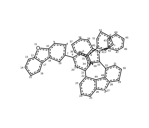 c1ccc(-c2nc(-c3ccc4oc5ccccc5c4c3)nc(-c3cccc4sc5cccc(-c6nc7ccccc7n6-c6ccccc6)c5c34)n2)cc1